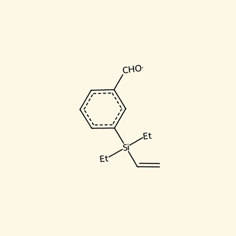 C=C[Si](CC)(CC)c1cccc([C]=O)c1